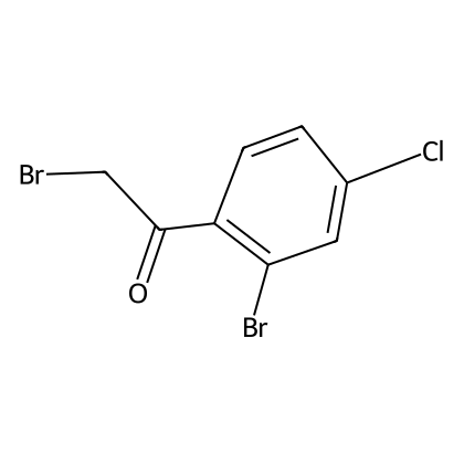 O=C(CBr)c1ccc(Cl)cc1Br